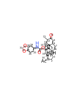 CC(=O)[C@H]1CC[C@H]2[C@@H]3C=CC4=CC(=O)C(C)C(C)[C@@]4(C)[C@@H]3[C@@H](OC(=O)Nc3ccc4c(c3)OCO4)C[C@]12C